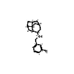 Brc1cccc(CNC23CC4CC5CC(C2)C5(C4)C3)c1